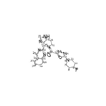 O=C(c1nnc(N2CCC(F)CC2)o1)N1CCc2[nH]cnc2[C@@H]1c1ncc2ccccc2n1